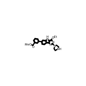 CCOc1nc(N2CCNCC2)nc2c1[nH]c1cc(-c3cccc(C(=O)OC)c3)ccc12